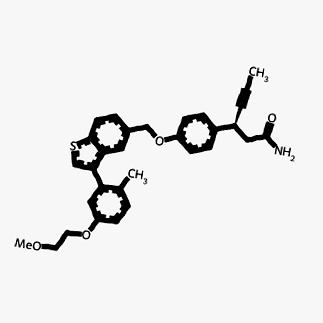 CC#C[C@@H](CC(N)=O)c1ccc(OCc2ccc3scc(-c4cc(OCCOC)ccc4C)c3c2)cc1